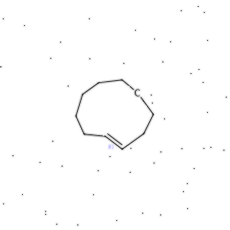 C1=C/CCCCCCCC/1